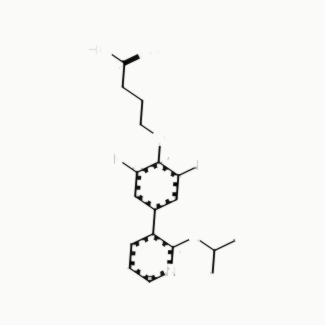 CC(C)Sc1ncccc1-c1cc(F)c(OCCCC(=O)O)c(F)c1